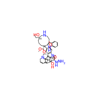 CC[C@]1(O)CCC[C@](C(=O)OC)(c2cc3c(cc2OC)N(C)[C@@H]2[C@]34CCN3CC=C[C@@](C)(C[C@]2(O)C(=O)NN)[C@H]34)c2[nH]c3ccccc3c2CCNC1